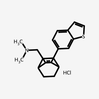 CN(C)CC1=C(c2ccc3ccsc3c2)C2CCC1CC2.Cl